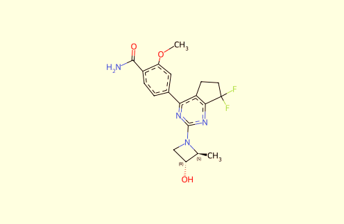 COc1cc(-c2nc(N3C[C@@H](O)[C@@H]3C)nc3c2CCC3(F)F)ccc1C(N)=O